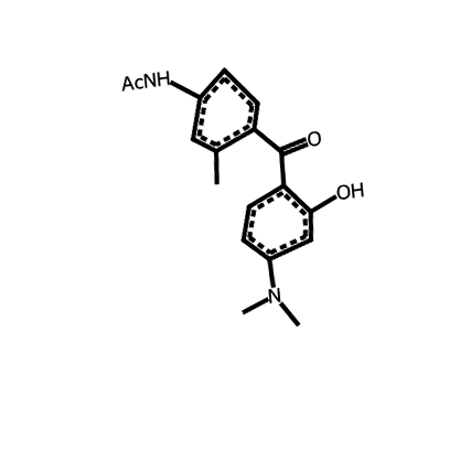 CC(=O)Nc1ccc(C(=O)c2ccc(N(C)C)cc2O)c(C)c1